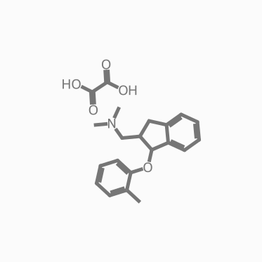 Cc1ccccc1OC1c2ccccc2CC1CN(C)C.O=C(O)C(=O)O